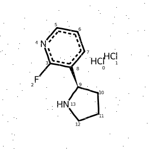 Cl.Cl.Fc1ncccc1[C@H]1CCCN1